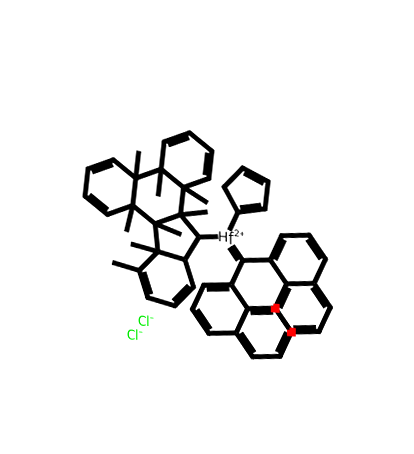 CC1=CC=CC2[CH]([Hf+2]([C]3=CC=CC3)=[C](c3cccc4ccccc34)c3cccc4ccccc34)C3(C)C4(C)C=CC=CC4(C)C4(C)C=CC=CC4(C)C3(C)C12C.[Cl-].[Cl-]